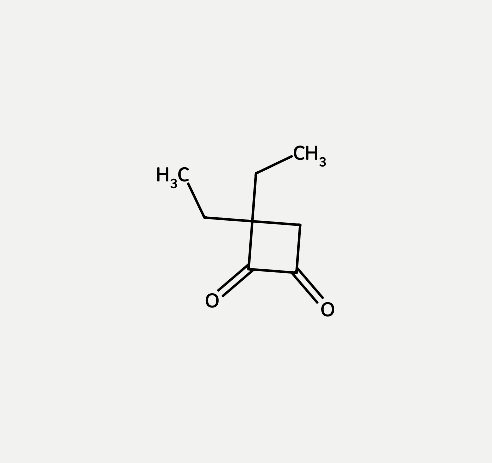 CCC1(CC)CC(=O)C1=O